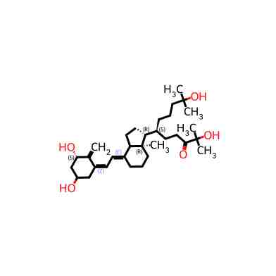 C=C1/C(=C\C=C2/CCC[C@@]3(C)C2CC[C@@H]3[C@@H](CCCC(C)(C)O)CCC(=O)C(C)(C)O)CC(O)C[C@@H]1O